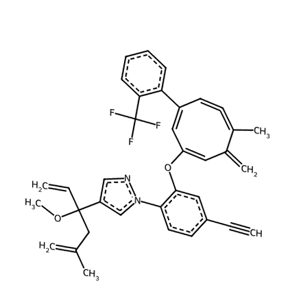 C#Cc1ccc(-n2cc(C(C=C)(CC(=C)C)OC)cn2)c(OC2=C/C(=C)C(C)=C=C/C(c3ccccc3C(F)(F)F)=C\2)c1